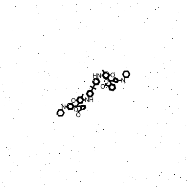 Cc1cc2c(cc1Nc1ccc(C(C)(C)c3ccc(Nc4cc5c(cc4C)Oc4cc(N(C)C6CCCCC6)ccc4C54OC(=O)c5ccccc54)cc3)cc1)C1(OC(=O)c3ccccc31)c1ccc(N(C)C3CCCCC3)cc1O2